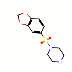 Cl.O=S(=O)(c1ccc2c(c1)OCO2)N1CCNCC1